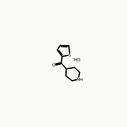 Cl.O=C(c1cccs1)C1CCNCC1